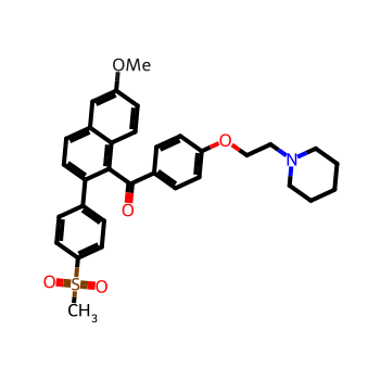 COc1ccc2c(C(=O)c3ccc(OCCN4CCCCC4)cc3)c(-c3ccc(S(C)(=O)=O)cc3)ccc2c1